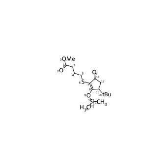 COC(=O)CCCSC1=C(O[SiH](C)C)C(C(C)(C)C)CC1=O